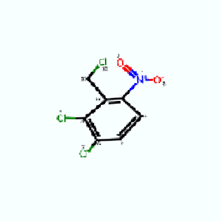 O=[N+]([O-])c1ccc(Cl)c(Cl)c1CCl